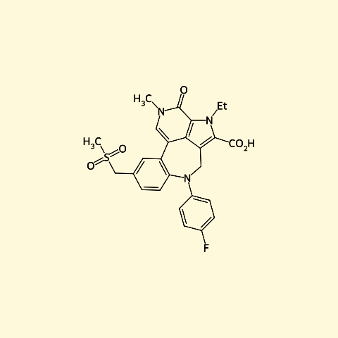 CCn1c(C(=O)O)c2c3c(cn(C)c(=O)c31)-c1cc(CS(C)(=O)=O)ccc1N(c1ccc(F)cc1)C2